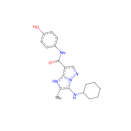 CC(C)(C)c1[nH]c2c(C(=O)Nc3ccc(O)cc3)cnn2c1NC1CCCCC1